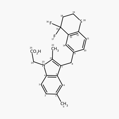 Cc1ccc2c(c1)c(Cc1ccc3c(c1)C(F)(F)CCS3)c(C)n2CC(=O)O